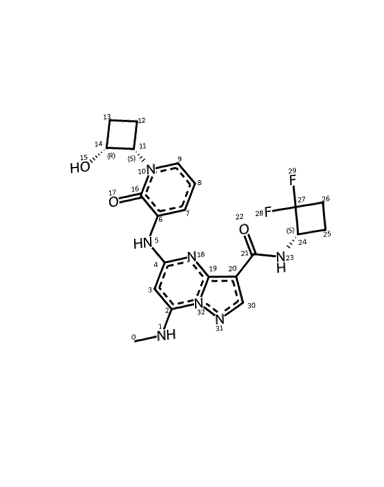 CNc1cc(Nc2cccn([C@H]3CC[C@H]3O)c2=O)nc2c(C(=O)N[C@H]3CCC3(F)F)cnn12